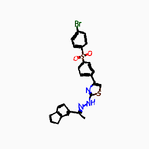 C/C(=N\Nc1nc(-c2ccc(S(=O)(=O)c3ccc(Br)cc3)cc2)cs1)c1ccc2c(c1)CCC2